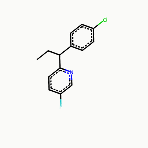 CCC(c1ccc(Cl)cc1)c1ccc(F)cn1